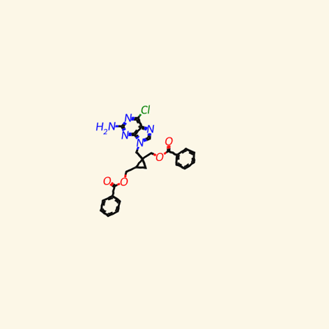 Nc1nc(Cl)c2ncn(CC3(COC(=O)c4ccccc4)CC3COC(=O)c3ccccc3)c2n1